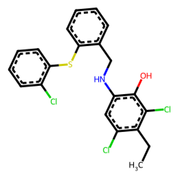 CCc1c(Cl)cc(NCc2ccccc2Sc2ccccc2Cl)c(O)c1Cl